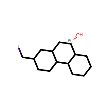 O[C@H]1CC2CC(CI)CCC2C2CCCCC21